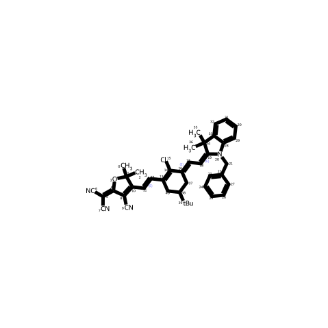 CC1(C)OC(=C(C#N)C#N)C(C#N)=C1/C=C/C1=C(Cl)C(=C/C=C2/N(Cc3ccccc3)c3ccccc3C2(C)C)/CC(C(C)(C)C)C1